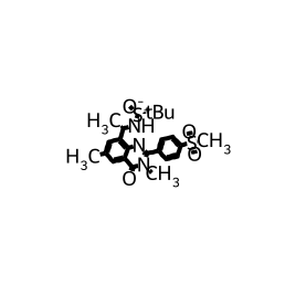 Cc1cc([C@@H](C)N[S@+]([O-])C(C)(C)C)c2nc(-c3ccc(S(C)(=O)=O)cc3)n(C)c(=O)c2c1